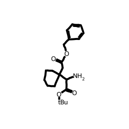 CC(C)(C)OC(=O)C(N)C1(CC(=O)OCc2ccccc2)CCCCC1